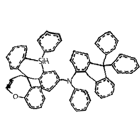 c1ccc(N(c2ccc3c(c2)[SiH](c2ccccc2)c2ccccc2C32c3ccccc3Oc3ccccc32)c2cccc3c2-c2ccccc2C3(c2ccccc2)c2ccccc2)cc1